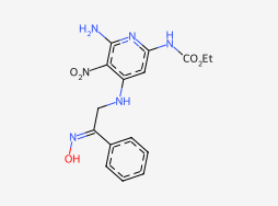 CCOC(=O)Nc1cc(NC/C(=N/O)c2ccccc2)c([N+](=O)[O-])c(N)n1